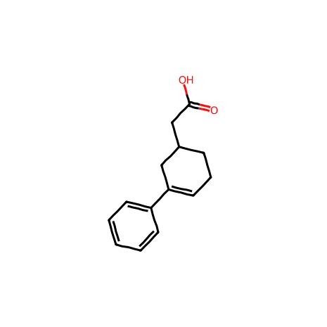 O=C(O)CC1CCC=C(c2ccccc2)C1